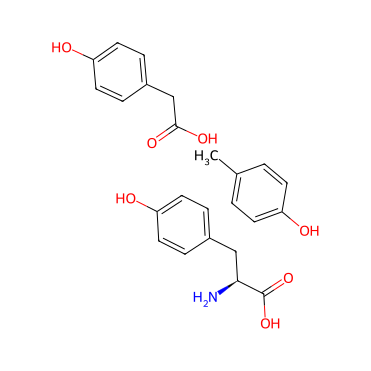 Cc1ccc(O)cc1.N[C@@H](Cc1ccc(O)cc1)C(=O)O.O=C(O)Cc1ccc(O)cc1